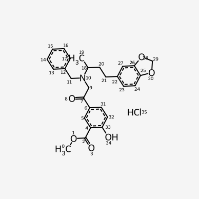 COC(=O)c1cc(C(=O)CN(Cc2ccccc2)C(C)CCc2ccc3c(c2)OCO3)ccc1O.Cl